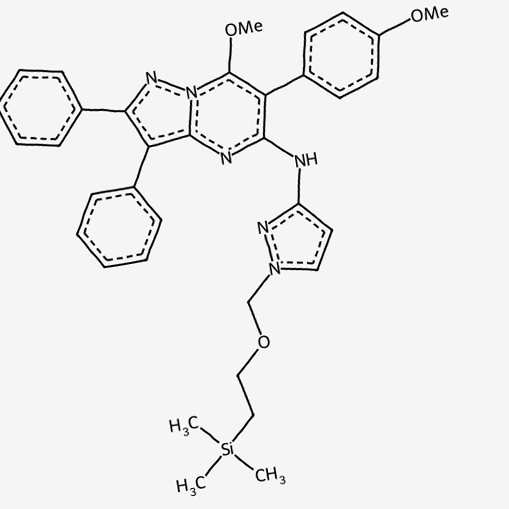 COc1ccc(-c2c(Nc3ccn(COCC[Si](C)(C)C)n3)nc3c(-c4ccccc4)c(-c4ccccc4)nn3c2OC)cc1